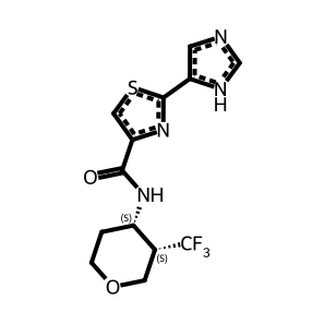 O=C(N[C@H]1CCOC[C@H]1C(F)(F)F)c1csc(-c2cnc[nH]2)n1